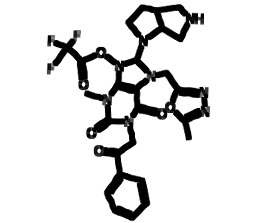 Cc1nnc(CN2c3c(n(C)c(=O)n(CC(=O)c4ccccc4)c3=O)N(OC(=O)C(F)(F)F)C2N2CCC3CNCC32)o1